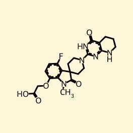 CN1C(=O)C2(CCN(c3nc4c(c(=O)[nH]3)CCCN4)CC2)c2c(F)ccc(OCC(=O)O)c21